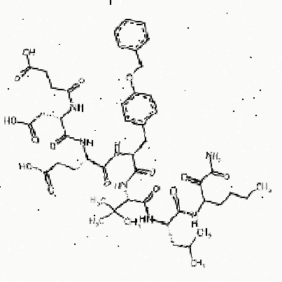 CCCCC(NC(=O)[C@H](CC(C)C)NC(=O)[C@@H](NC(=O)[C@H](Cc1ccc(OCc2ccccc2)cc1)NC(=O)[C@H](CCC(=O)O)NC(=O)[C@H](CC(=O)O)NC(=O)CCC(=O)O)C(C)(C)C)C(=O)C(N)=O